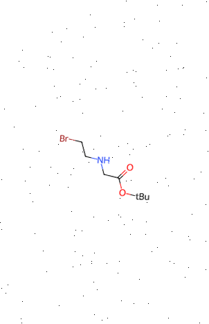 CC(C)(C)OC(=O)CNCCBr